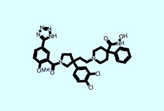 COc1ccc(-c2nnn[nH]2)cc1C(=O)N1CCC(CCN2CCC(C(=O)NO)(c3ccccc3)CC2)(c2ccc(Cl)c(Cl)c2)C1